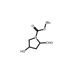 CC(C)(C)OC(=O)N1CC(O)CC1[C]=O